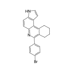 Brc1ccc(-c2nc3ccc4[nH]ccc4c3c3c2CCCC3)cc1